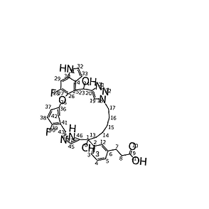 CC1(c2cccc(CCC(=O)O)c2)CCCCCn2cc(nn2)C(O)c2c(c(F)cc3[nH]ccc23)Oc2ccc(F)c(c2)-c2ncc1[nH]2